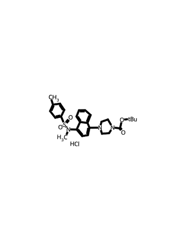 Cc1ccc(S(=O)(=O)N(C)c2ccc(N3CCN(C(=O)OC(C)(C)C)CC3)c3ccccc23)cc1.Cl